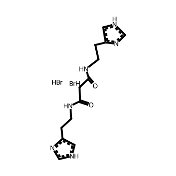 Br.Br.O=C(CC(=O)NCCc1c[nH]cn1)NCCc1c[nH]cn1